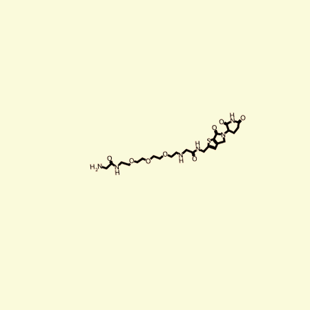 NCC(=O)NCCOCCOCCOCCNCC(=O)NCc1cc2c(s1)C(=O)N(C1CCC(=O)NC1=O)C2